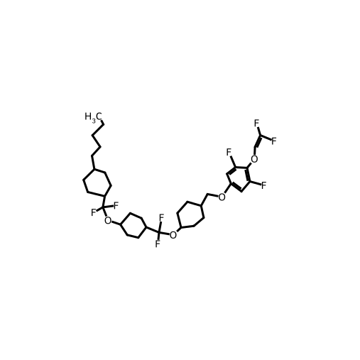 CCCCCC1CCC(C(F)(F)OC2CCC(C(F)(F)OC3CCC(COc4cc(F)c(OC=C(F)F)c(F)c4)CC3)CC2)CC1